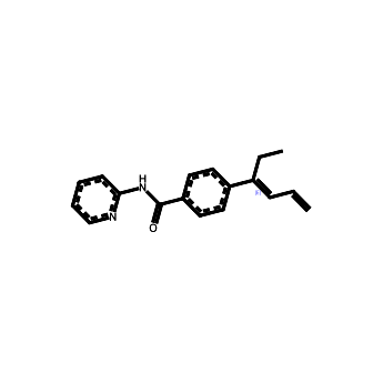 C=C/C=C(\CC)c1ccc(C(=O)Nc2ccccn2)cc1